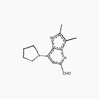 Cc1nc2c(N3CCCC3)cc(C=O)nn2c1C